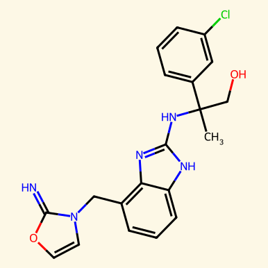 CC(CO)(Nc1nc2c(Cn3ccoc3=N)cccc2[nH]1)c1cccc(Cl)c1